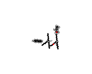 CCCCCCCC[NH+](CCCCCCCC)CCCCCCCC.CCCCCCCC[NH+](CCCCCCCC)CCCCCCCC.[O]=[Mo](=[O])([O-])[O-].[O]=[Mo](=[O])([O-])[O-].[O]=[Mo](=[O])([O-])[O-].[O]=[Mo](=[O])([O-])[O-].[O]=[Mo](=[O])([O-])[O-].[O]=[Mo](=[O])([O-])[O-]